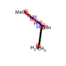 C=C(C)OC(=O)CCCCCCCCCCCCCCCCC(=O)N[C@@H](CCC(=O)NCCOCCOCC(=O)NCCOCCOCC(=O)OC)C(=O)OC(C)(C)C